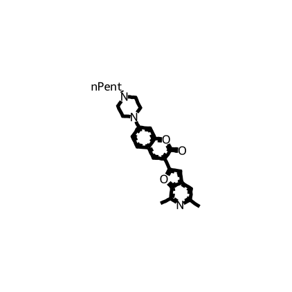 CCCCCN1CCN(c2ccc3cc(-c4cc5cc(C)nc(C)c5o4)c(=O)oc3c2)CC1